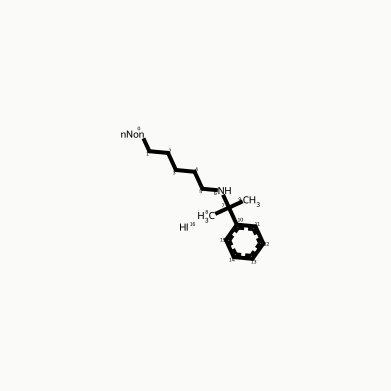 CCCCCCCCCCCCCCNC(C)(C)c1ccccc1.I